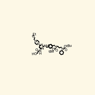 CCOCCN1CCN(c2cc(NC(=O)CO)nc(NCc3ccc(CN(CCCN(C(=O)OC(C)(C)C)C4CCCCC4)C(=O)OC(C)(C)C)cc3)n2)CC1